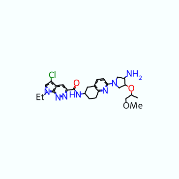 CCn1cc(Cl)c2cc(C(=O)NC3CCc4nc(N5CC(N)C(OC(C)COC)C5)ccc4C3)nnc21